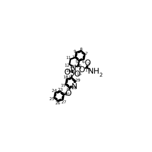 NC(=O)O[C@H]1c2ccccc2CCN1S(=O)(=O)c1ccc(Oc2ccccc2)nc1